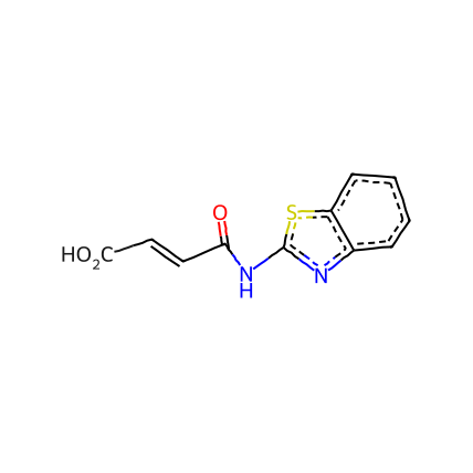 O=C(O)C=CC(=O)Nc1nc2ccccc2s1